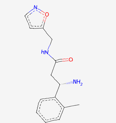 Cc1ccccc1[C@@H](N)CC(=O)NCc1ccno1